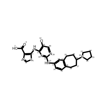 O=C(O)c1ncsc1Nc1nc(Nc2ccc3c(c2)CCC(N2CCCC2)CC3)ncc1Cl